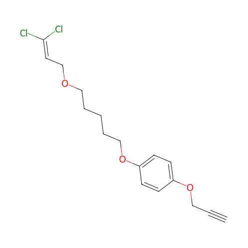 C#CCOc1ccc(OCCCCCOCC=C(Cl)Cl)cc1